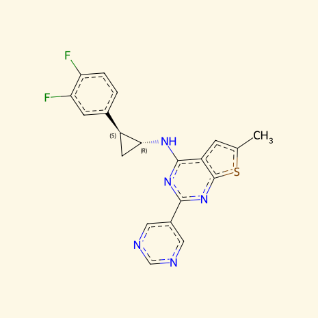 Cc1cc2c(N[C@@H]3C[C@H]3c3ccc(F)c(F)c3)nc(-c3cncnc3)nc2s1